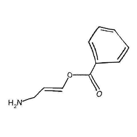 NCC=COC(=O)c1ccccc1